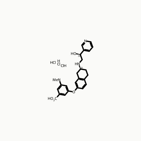 CNc1cc(Oc2ccc3c(c2)C[C@@H](NC[C@@H](O)c2cccnc2)CC3)cc(C(=O)O)c1.Cl.Cl.Cl